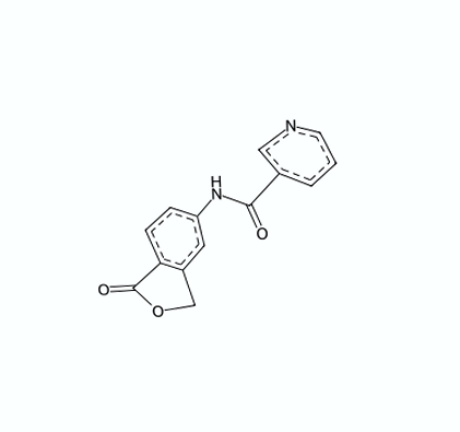 O=C(Nc1ccc2c(c1)COC2=O)c1cccnc1